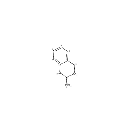 CCCCC1OCc2ccccc2O1